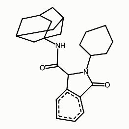 O=C(NC12CC3CC(CC(C3)C1)C2)C1c2ccccc2C(=O)N1C1CCCCC1